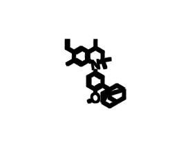 C=Cc1cc2c(cc1C)N(c1ccc(OC)c(C34CC5CC(CC(C5)C3)C4)c1)C(C)(C)CC2C